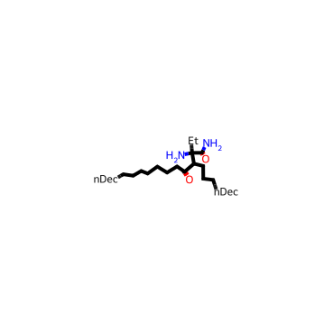 CCCCCCCCCCCCCCCCCC(=O)C(CCCCCCCCCCCCC)C(N)(CC)C(N)=O